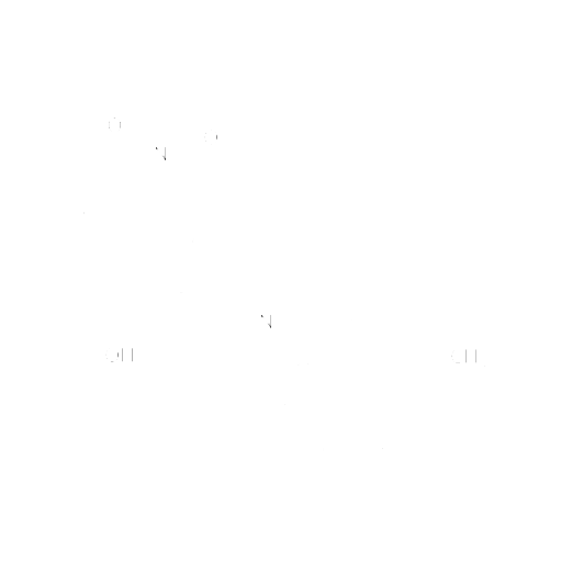 Cc1cccc(/N=C/c2cc([N+](=O)[O-])ccc2O)c1